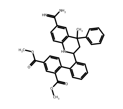 COC(=O)c1ccc(-c2ccccc2C2CC(C)(c3ccccc3)c3cc(C(=N)N)ccc3N2)c(C(=O)OC)c1